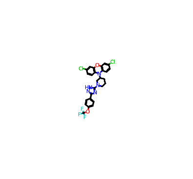 FC(F)(F)Oc1ccc(-c2n[nH]c(N3CCCC(N4c5ccc(Cl)cc5Oc5cc(Cl)ccc54)C3)n2)cc1